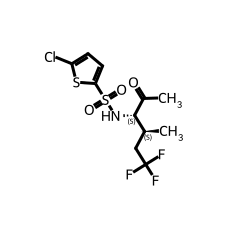 CC(=O)[C@@H](NS(=O)(=O)c1ccc(Cl)s1)[C@@H](C)CC(F)(F)F